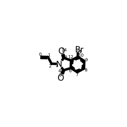 C=CCN1C(=O)c2cccc(Br)c2C1=O